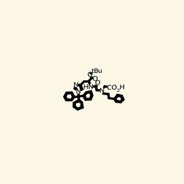 CC(C)(C)OC(=O)C(Cc1cn(C(c2ccccc2)(c2ccccc2)c2ccccc2)cn1)NC(=O)CN(CCCc1ccccc1)CC(=O)O